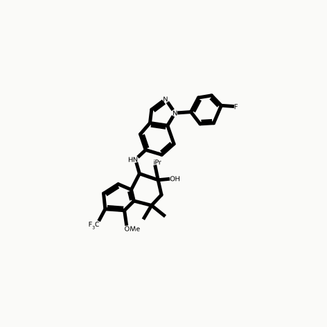 COc1c(C(F)(F)F)ccc2c1C(C)(C)CC(O)(C(C)C)C2Nc1ccc2c(cnn2-c2ccc(F)cc2)c1